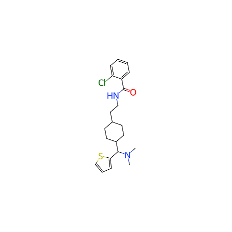 CN(C)C(c1cccs1)C1CCC(CCNC(=O)c2ccccc2Cl)CC1